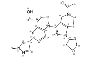 CC(=O)N1CCc2c(c(N3CC[C@@H](CO)c4cc(-c5cnn(C)c5)ccc43)nn2[C@@H]2CCOC2)C1